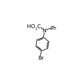 CC(C)N(C(=O)O)c1ccc(Br)cc1